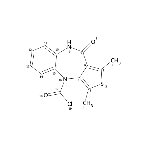 Cc1sc(C)c2c1C(=O)Nc1ccccc1N2C(=O)Cl